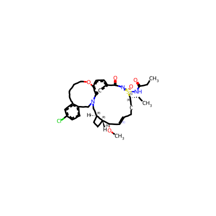 CCC(=O)N[S@]1(=O)=NC(=O)c2ccc3c(c2)N(Cc2ccc(Cl)cc2CCCCO3)C[C@@H]2CC[C@H]2[C@@H](OC)/C=C/CC[C@H]1CC